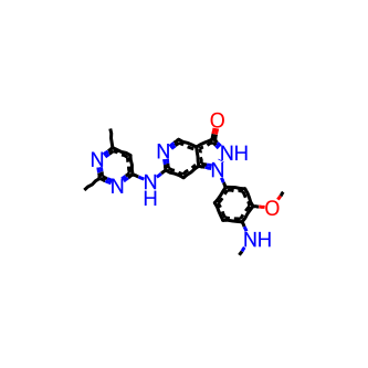 CNc1ccc(-n2[nH]c(=O)c3cnc(Nc4cc(C)nc(C)n4)cc32)cc1OC